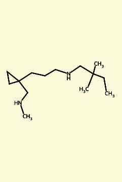 CCC(C)(C)CNCCCC1(CNC)CC1